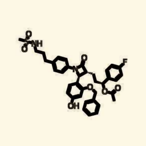 CC(=O)O[C@@H](CC[C@H]1C(=O)N(c2ccc(CCCNS(C)(=O)=O)cc2)[C@@H]1c1ccc(O)cc1OCc1ccccc1)c1ccc(F)cc1